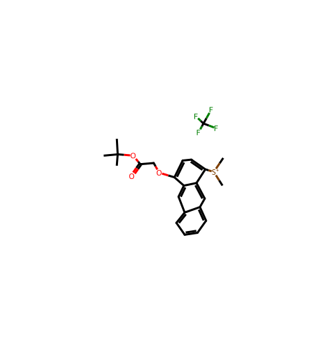 C[S+](C)c1ccc(OCC(=O)OC(C)(C)C)c2cc3ccccc3cc12.FC(F)(F)F